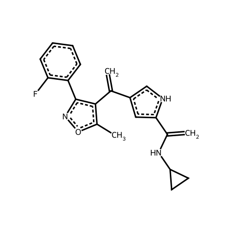 C=C(NC1CC1)c1cc(C(=C)c2c(-c3ccccc3F)noc2C)c[nH]1